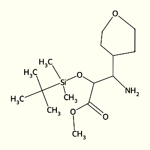 COC(=O)C(O[Si](C)(C)C(C)(C)C)C(N)C1CCOCC1